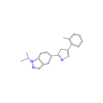 Cc1ccccc1C1=CN=C(c2ccc3c(cnn3C(C)C)c2)C1